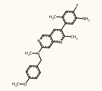 COc1ccc(CN(C)c2cc3nc(C)c(-c4cc(N)c(F)cc4C)cc3cn2)cc1